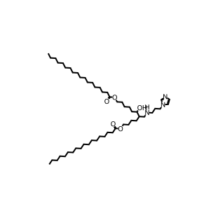 CCCCCCCCCCCCCCCCCC(=O)OCCCCCC(O)C(CCCCOC(=O)CCCCCCCCCCCCCCCCC)CNCCCn1ccnc1